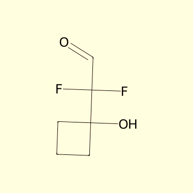 O=CC(F)(F)C1(O)CCC1